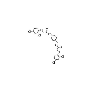 O=C(COc1ccc(Cl)cc1Cl)OCc1ccc(COC(=O)COc2ccc(Cl)cc2Cl)cc1